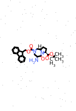 CC(C)(C)OC(=O)[C@@H]1CC[C@@H]2CN(C(=O)OCC3c4ccccc4-c4ccccc43)C[C@H](N)C(=O)N21